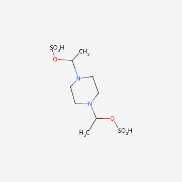 CC(OS(=O)(=O)O)N1CCN(C(C)OS(=O)(=O)O)CC1